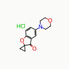 Cl.O=C1c2cc(N3CCOCC3)ccc2OC12CC2